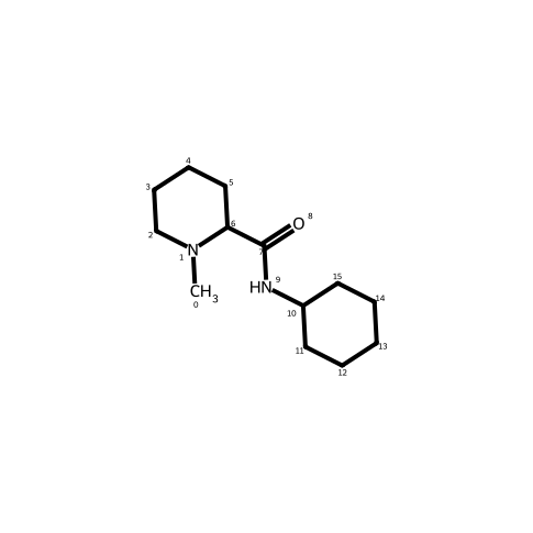 CN1CCCCC1C(=O)NC1CCCCC1